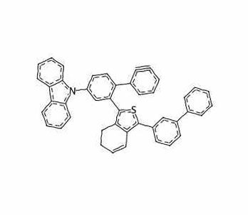 c1cccc(-c2ccc(-n3c4ccccc4c4ccccc43)cc2-c2sc(-c3cccc(-c4ccccc4)c3)c3c2CCC=C3)c#1